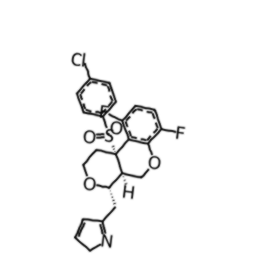 O=S(=O)(c1ccc(Cl)cc1)[C@@]12CCO[C@@H](CC3=NCC=C3)[C@@H]1COc1c(F)ccc(F)c12